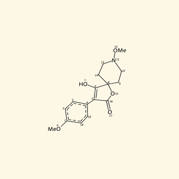 COc1ccc(C2=C(O)C3(CCN(OC)CC3)OC2=O)cc1